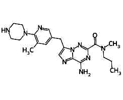 CCCN(C)C(=O)c1nc(N)c2ncc(Cc3cnc(N4CCNCC4)c(C)c3)n2n1